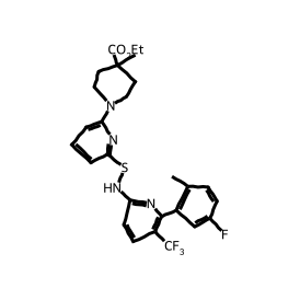 CCOC(=O)C1(C)CCN(c2cccc(SNc3ccc(C(F)(F)F)c(-c4cc(F)ccc4C)n3)n2)CC1